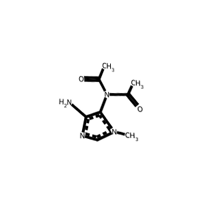 CC(=O)N(C(C)=O)c1c(N)ncn1C